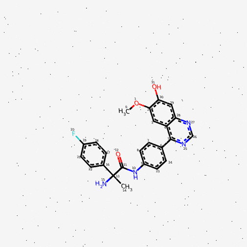 COc1cc2c(-c3ccc(NC(=O)C(C)(N)c4ccc(F)cc4)cc3)ncnc2cc1O